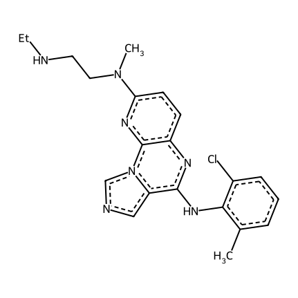 CCNCCN(C)c1ccc2nc(Nc3c(C)cccc3Cl)c3cncn3c2n1